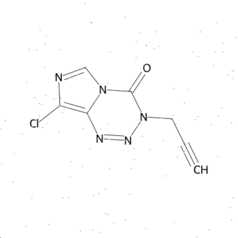 C#CCn1nnc2c(Cl)ncn2c1=O